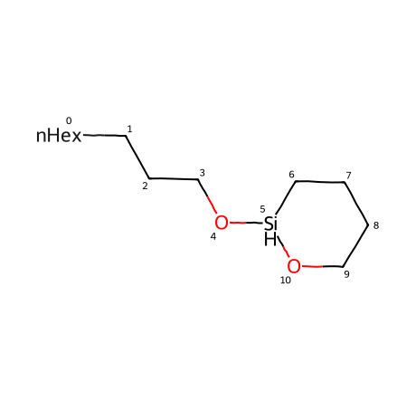 CCCCCCCCCO[SiH]1CCCCO1